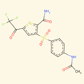 CC(=O)Nc1ccc(S(=O)(=O)c2cc(C(=O)C(F)(F)F)sc2C(N)=O)cc1